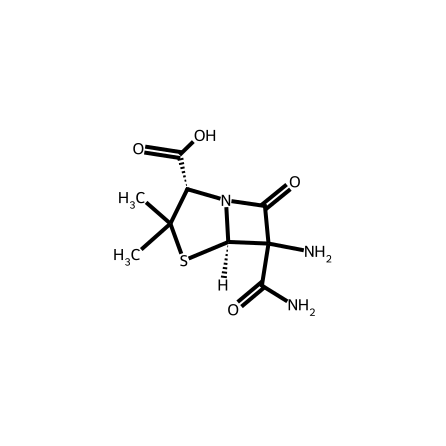 CC1(C)S[C@H]2N(C(=O)C2(N)C(N)=O)[C@H]1C(=O)O